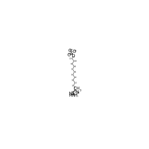 CCCCCCCCCCCCOS(=O)(=O)[O-].[Na+].c1c[nH]cn1